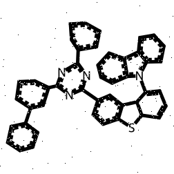 C1=CC2Sc3ccc(-c4nc(-c5ccccc5)nc(-c5cccc(-c6ccccc6)c5)n4)cc3C2C(n2c3ccccc3c3ccccc32)=C1